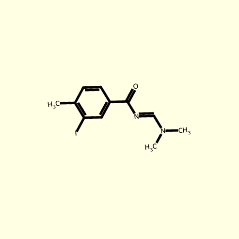 Cc1ccc(C(=O)/N=C/N(C)C)cc1I